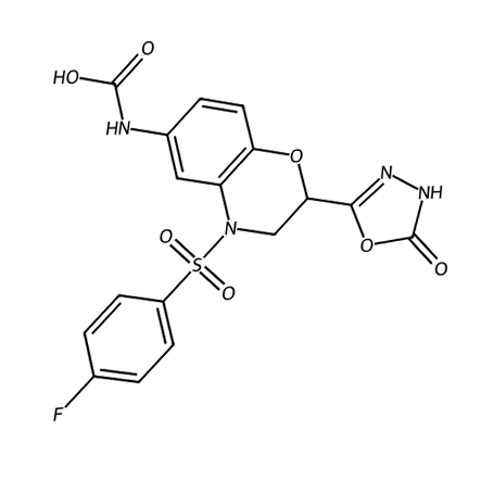 O=C(O)Nc1ccc2c(c1)N(S(=O)(=O)c1ccc(F)cc1)CC(c1n[nH]c(=O)o1)O2